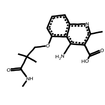 CNC(=O)C(C)(C)COc1cccc2nc(C)c(C(=O)O)c(N)c12